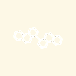 c1ccc2c(c1)ccc1c(-c3cccc4c3ccc3ccccc34)cccc12